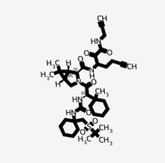 C#CCCC(NC(=O)[C@@H]1[C@@H]2[C@H](CN1C(=O)[C@@H](NC(=O)NC1(CS(=O)(=O)C(C)(C)C)CCCCC1)C1(C)CCCCC1)C2(C)C)C(=O)C(=O)NCC#C